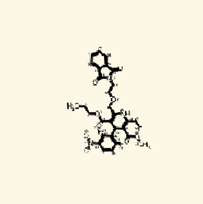 CCCOC(=O)C1=C(COCCN2C(=O)c3ccccc3C2=O)NC(CF)=C(C(=O)OC)C1c1c(F)ccc([N+](=O)[O-])c1F